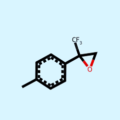 Cc1ccc(C2(C(F)(F)F)CO2)cc1